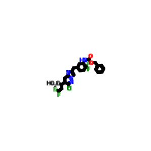 O=C(NC1CC(Cc2cn3nc(Cl)c(C(CC(F)F)C(=O)O)cc3n2)CCC1(F)F)OCc1ccccc1